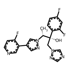 C[C@@H](n1cc(-c2cnccc2F)cn1)[C@](O)(Cn1cncn1)c1ccc(F)cc1F